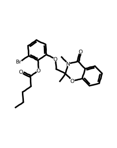 CCCCC(=O)Oc1c(Br)cccc1OCC1(C)Oc2ccccc2C(=O)N1C